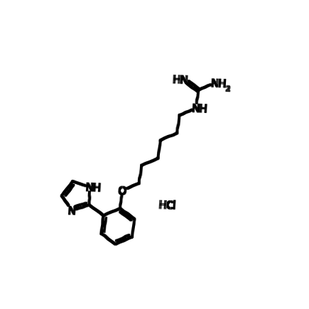 Cl.N=C(N)NCCCCCCOc1ccccc1-c1ncc[nH]1